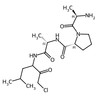 CC(C)CC(NC(=O)[C@H](C)NC(=O)[C@H]1CCCN1C(=O)[C@@H](C)N)C(=O)CCl